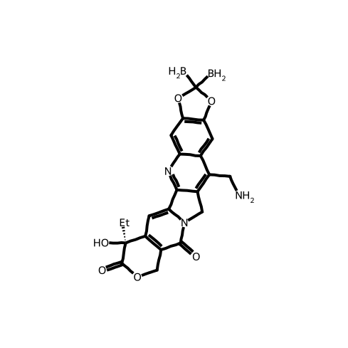 BC1(B)Oc2cc3nc4c(c(CN)c3cc2O1)Cn1c-4cc2c(c1=O)COC(=O)[C@]2(O)CC